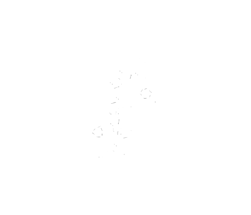 CCCCCC(NC(=O)C(Cc1ccccc1)NC(=O)C(CC(C)=O)NC(=O)C(CC=O)NC(=O)C(C)CCCC)C(=O)NC(C(=O)NC(CCC(=O)O)C(=O)NC(CCC(=O)O)C(=O)NC(Cc1ccc(O)cc1)C(=O)O)C(C)O